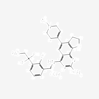 CC(=O)N1CC=C(c2cc3c(N[C@H](C)c4cccc(C(F)(F)CO)c4F)nc(C)nc3c3c2CCO3)CC1